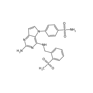 CS(=O)(=O)c1ccccc1CNc1nc(N)nc2ccn(-c3ccc(S(N)(=O)=O)cc3)c12